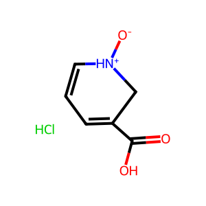 Cl.O=C(O)C1=CC=C[NH+]([O-])C1